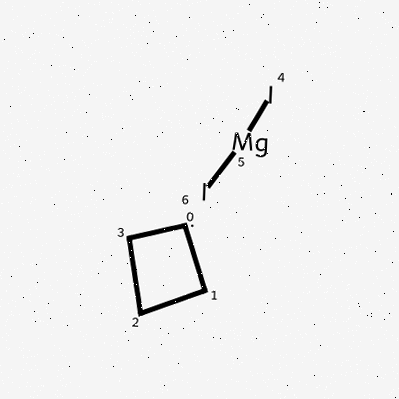 [CH]1CCC1.[I][Mg][I]